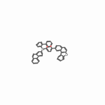 c1ccc(-c2ccccc2N(c2ccc(-c3ccc4ccc5oc6ccccc6c5c4c3)cc2)c2ccc3c(ccc4ccccc43)c2)cc1